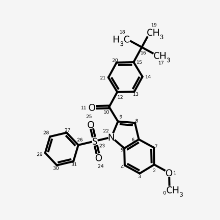 COc1ccc2c(c1)cc(C(=O)c1ccc(C(C)(C)C)cc1)n2S(=O)(=O)c1ccccc1